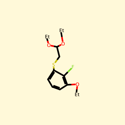 CCOc1cccc(SCC(OCC)OCC)c1F